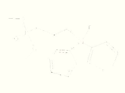 COP(=O)(CCC[Si](F)(c1ccccc1)c1ccccc1)OC